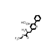 Cl.Cl.N[C@@H](Cc1ccc(-c2ccccc2)nc1)C(=O)OCC(F)(F)F